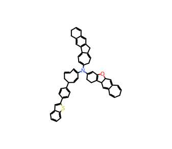 C1=CC2=CC3OC4=C(CCC(N(C5=CC=C6C(=CC5)Cc5cc7c(cc56)CCC=C7)C5=C/C=C/CC(c6ccc(-c7cc8ccccc8s7)cc6)/C=C\5)=C4)C3C=C2C=CC1